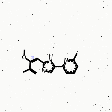 C=C(C)/C(=C\c1ncc(-c2cccc(C)n2)[nH]1)OC